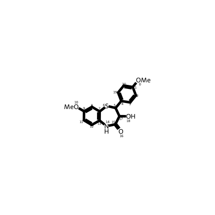 COc1ccc(C2Sc3cc(OC)ccc3NC(=O)C2O)cc1